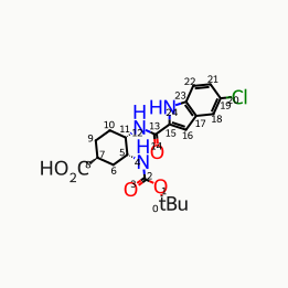 CC(C)(C)OC(=O)N[C@@H]1C[C@@H](C(=O)O)CC[C@@H]1NC(=O)c1cc2cc(Cl)ccc2[nH]1